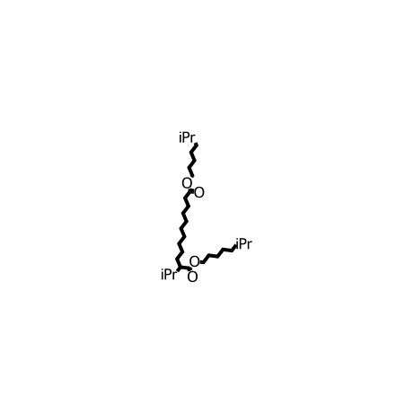 CC(C)CCCCCOC(=O)CCCCCCCCCC(C(=O)OCCCCCC(C)C)C(C)C